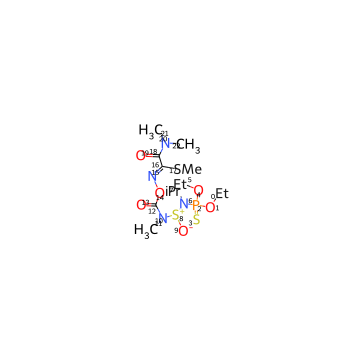 CCOP(=S)(OCC)N(C(C)C)[S+]([O-])N(C)C(=O)ON=C(SC)C(=O)N(C)C